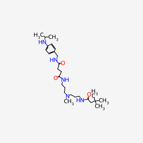 CC(C)Nc1ccc(CNC(=O)CCC(=O)NCCCN(C)CCCNC(=O)CC(C)(C)C)cc1